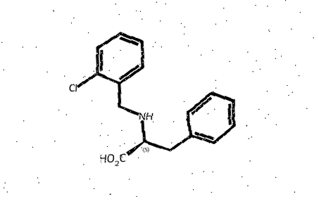 O=C(O)[C@H](Cc1ccccc1)NCc1ccccc1Cl